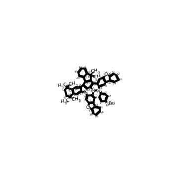 CC(C)(C)c1ccc(N2B3c4cc5c(cc4-n4c6cc7c(cc6c6c8c(c(c3c64)-c3cc4oc6ccccc6c4cc32)C(C)(C)c2ccccc2-8)C(C)(C)CCC7(C)C)oc2ccccc25)cc1